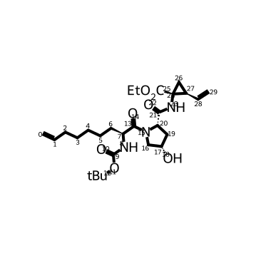 C=CCCCCC[C@H](NC(=O)OC(C)(C)C)C(=O)N1C[C@@H](O)C[C@H]1C(=O)N[C@]1(C(=O)OCC)C[C@H]1C=C